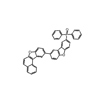 O=P(c1ccccc1)(c1ccccc1)c1ccc2oc3ccc(-c4ccc5oc6ccc7ccccc7c6c5c4)cc3c2c1